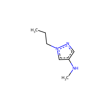 CCCn1cc(NC)cn1